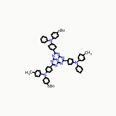 CCCCc1ccc(N(c2ccccc2)c2ccc(C3=NC4=NC(c5ccc(N(c6ccc(C)cc6)c6ccc(CCCC)cc6)cc5)=NC5=NC(c6ccc(N(c7ccccc7)c7ccc(C)cc7)cc6)=NC(=N3)N54)cc2)cc1